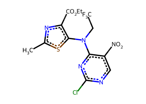 CCOC(=O)c1nc(C)sc1N(CC(F)(F)F)c1nc(Cl)ncc1[N+](=O)[O-]